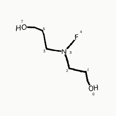 OCCN(F)CCO